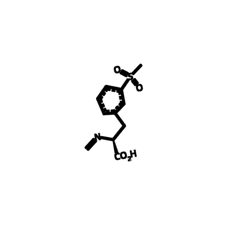 C=N[C@@H](Cc1cccc(S(C)(=O)=O)c1)C(=O)O